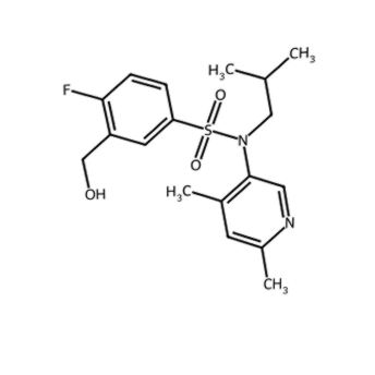 Cc1cc(C)c(N(CC(C)C)S(=O)(=O)c2ccc(F)c(CO)c2)cn1